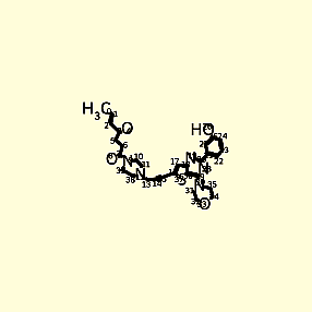 CC=CC(=O)CCC(=O)N1CCN(CC#Cc2cc3nc(-c4cccc(O)c4)nc(N4CCOCC4)c3s2)CC1